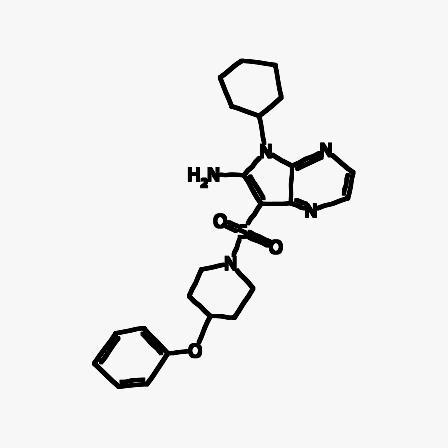 Nc1c(S(=O)(=O)N2CCC(Oc3ccccc3)CC2)c2nccnc2n1C1CCCCC1